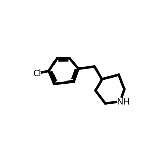 Clc1ccc(CC2CCNCC2)cc1